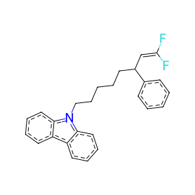 FC(F)=CC(CCCCCn1c2ccccc2c2ccccc21)c1ccccc1